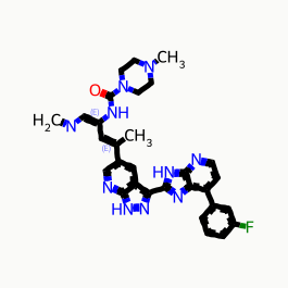 C=N/C=C(\C=C(/C)c1cnc2[nH]nc(-c3nc4c(-c5cccc(F)c5)ccnc4[nH]3)c2c1)NC(=O)N1CCN(C)CC1